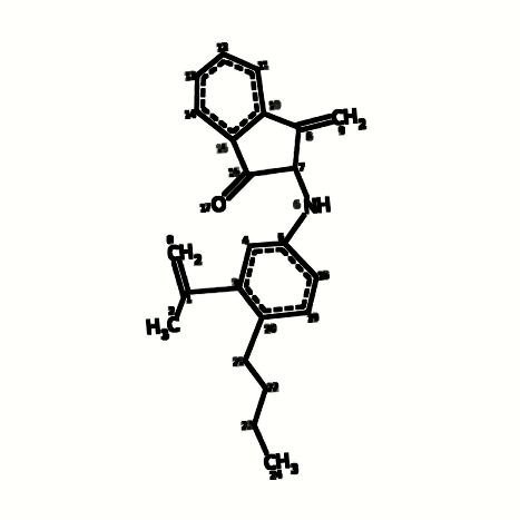 C=C(C)c1cc(NC2C(=C)c3ccccc3C2=O)ccc1CCCC